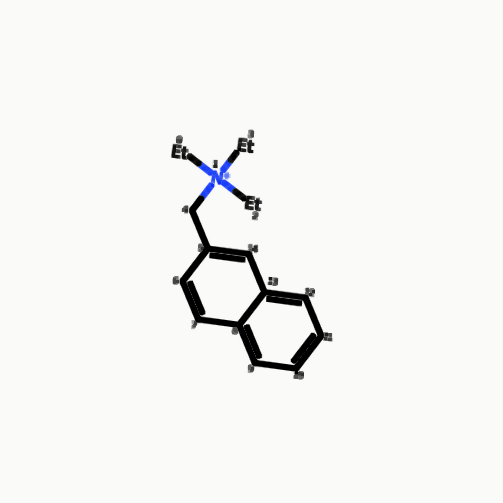 CC[N+](CC)(CC)Cc1ccc2ccccc2c1